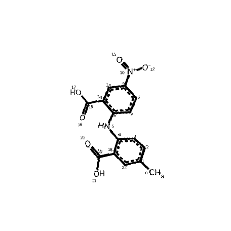 Cc1ccc(Nc2ccc([N+](=O)[O-])cc2C(=O)O)c(C(=O)O)c1